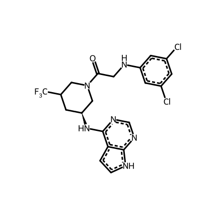 O=C(CNc1cc(Cl)cc(Cl)c1)N1CC(C(F)(F)F)C[C@H](Nc2ncnc3[nH]ccc23)C1